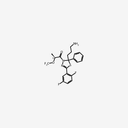 C[C@H](OC(F)(F)F)C(=O)N1N=C(c2cc(F)ccc2F)SC1(CCCN)c1ccccc1